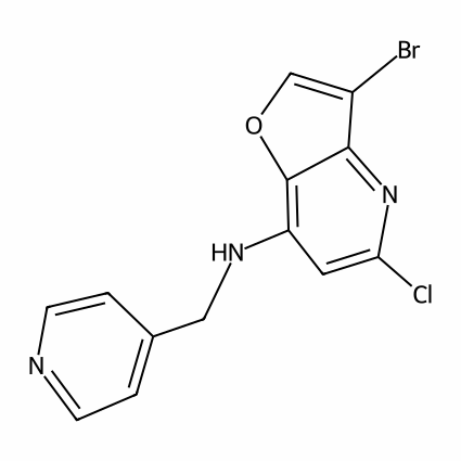 Clc1cc(NCc2ccncc2)c2occ(Br)c2n1